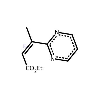 CCOC(=O)/C=C(/C)c1ncccn1